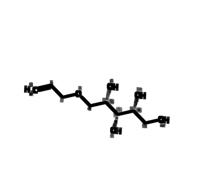 C=CCOC[C@H](O)[C@@H](O)[C@H](O)CO